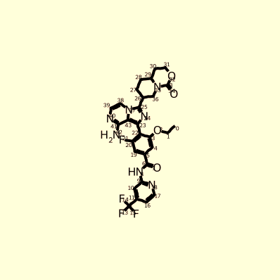 CCOc1cc(C(=O)Nc2cc(C(F)(F)F)ccn2)cc(F)c1-c1nc(C2CCC3CCOC(=O)N3C2)n2ccnc(N)c12